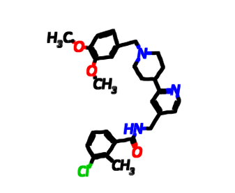 COc1ccc(CN2CCC(c3cc(CNC(=O)c4cccc(Cl)c4C)ccn3)CC2)cc1OC